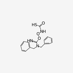 N=C(OONC(=O)S)N(Cc1ccccc1)Cc1ccccc1